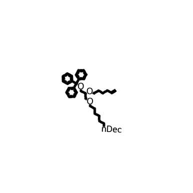 C=CCCCCOC(COCCCCCCCCCCCCCCCC)COC(c1ccccc1)(c1ccccc1)c1ccccc1